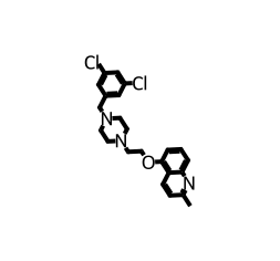 Cc1ccc2c(OCCN3CCN(Cc4cc(Cl)cc(Cl)c4)CC3)cccc2n1